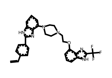 C=Cc1ccc(-c2nc3c(N4CCN(CCOc5cccc6[nH]c(C(F)(F)F)nc56)CC4)cccc3[nH]2)cc1